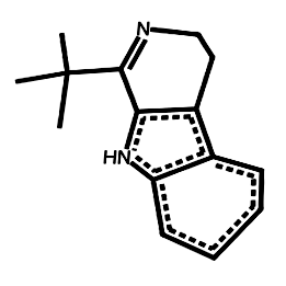 CC(C)(C)C1=NCCc2c1[nH]c1ccccc21